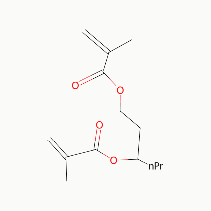 C=C(C)C(=O)OCCC(CCC)OC(=O)C(=C)C